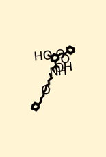 O=C(Oc1cc(O)cc(C(O)CNCCCCCOCCCCc2ccccc2)c1)c1ccccc1